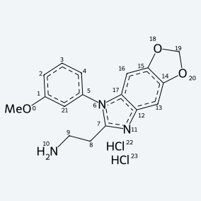 COc1cccc(-n2c(CCN)nc3cc4c(cc32)OCO4)c1.Cl.Cl